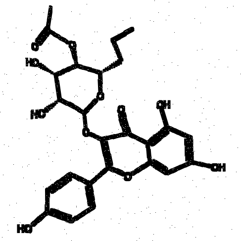 CCC[C@@H]1OC(Oc2c(-c3ccc(O)cc3)oc3cc(O)cc(O)c3c2=O)[C@H](O)[C@H](O)[C@H]1OC(C)=O